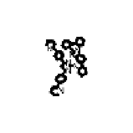 c1ccc(-c2ccc(-c3cc(-c4ccc(-c5ccccn5)cc4)nc(-n4c5ccccc5c5ccc6c(nc7c8ccccc8c8ccccc8n67)c54)n3)cc2)nc1